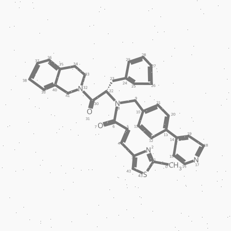 Cc1nc(C=CC(=O)N(Cc2ccc(-c3ccncc3)cc2)[C@@H](Cc2ccccc2)C(=O)N2CCc3ccccc3C2)cs1